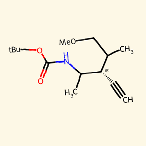 C#C[C@@H](C(C)COC)C(C)NC(=O)OC(C)(C)C